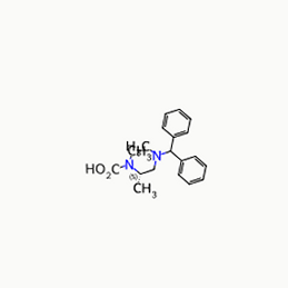 C[C@@H](CN(C)C(c1ccccc1)c1ccccc1)N(C)C(=O)O